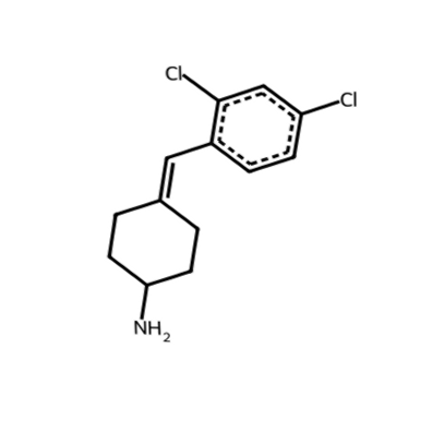 NC1CCC(=Cc2ccc(Cl)cc2Cl)CC1